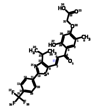 Cc1cc(C(=O)/C=C/c2sc(-c3ccc(C(F)(F)F)cc3)nc2C(C)C)c(O)cc1OCC(=O)O